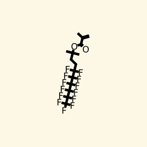 C=C(C)C(=O)OC(C)(C)CCC(F)(F)C(F)(F)C(F)(F)C(F)(F)C(F)(F)C(F)(F)F